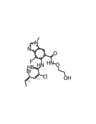 B=C(Nc1c(C(=O)NOCCO)cc2c(ncn2C)c1F)/C(Cl)=C\C(Br)=C/C